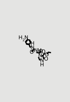 CCOC(=O)C1C(=O)NCCN1C(=O)CNC(=O)NCc1ccc(N)cc1